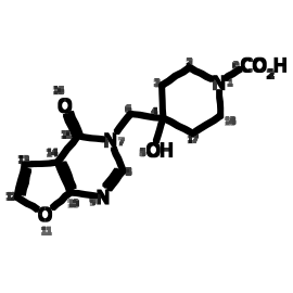 O=C(O)N1CCC(O)(Cn2cnc3occc3c2=O)CC1